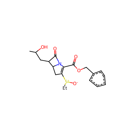 CC[S+]([O-])C1=C(C(=O)OCc2ccccc2)N2C(=O)C(CC(C)O)C2C1